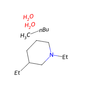 CCC1CCCN(CC)C1.CCCCC.O.O